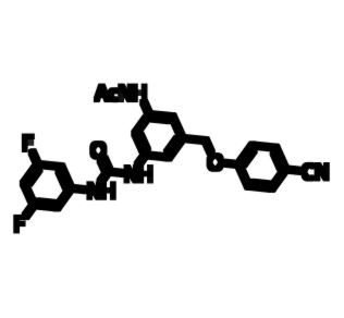 CC(=O)Nc1cc(COc2ccc(C#N)cc2)cc(NC(=O)Nc2cc(F)cc(F)c2)c1